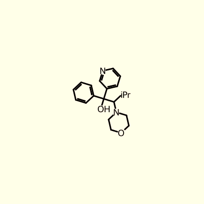 CC(C)C(N1CCOCC1)C(O)(c1ccccc1)c1cccnc1